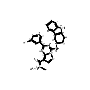 CON(C)C(=O)c1cnn2c(N[C@@H]3CCc4[nH]c5ccccc5c4C3)nc(-c3cncc(F)c3)nc12